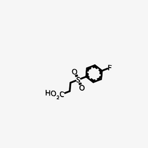 O=C(O)CCS(=O)(=O)c1ccc(F)cc1